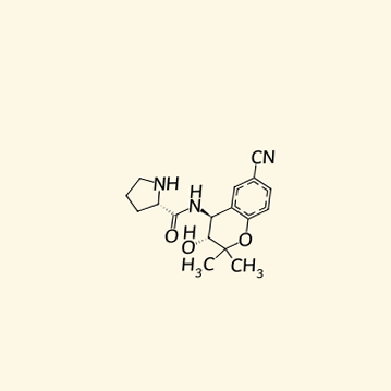 CC1(C)Oc2ccc(C#N)cc2[C@H](NC(=O)[C@@H]2CCCN2)[C@H]1O